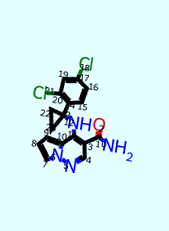 NC(=O)c1cnn2cccc2c1NC1(c2ccc(Cl)cc2Cl)CC1